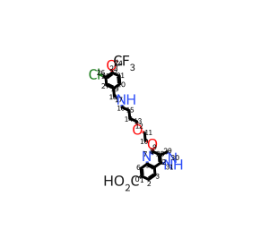 O=C(O)c1ccc2c(c1)nc(OCCOCCCCNCc1ccc(OC(F)(F)F)c(Cl)c1)c1cn[nH]c12